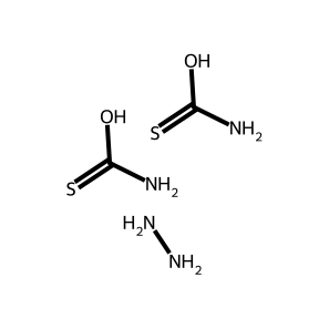 NC(O)=S.NC(O)=S.NN